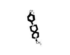 CN1CCC2(CC1)CCN(c1ccc(C(F)(F)F)cc1)CC2